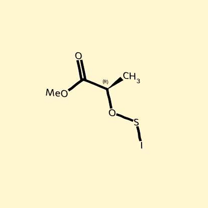 COC(=O)[C@@H](C)OSI